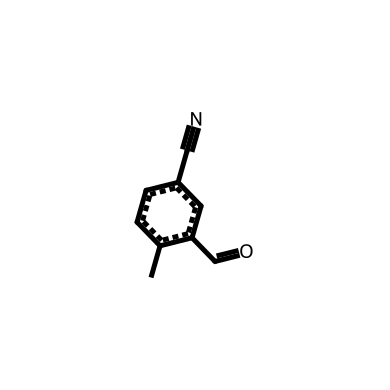 Cc1ccc(C#N)cc1C=O